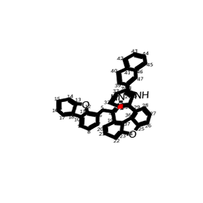 N=C(N/N=C(\Cc1cccc2c1oc1ccccc12)c1cccc2oc3cccc(-c4ccccc4)c3c12)c1ccc2ccccc2c1